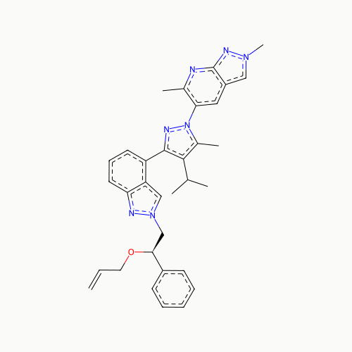 C=CCO[C@@H](Cn1cc2c(-c3nn(-c4cc5cn(C)nc5nc4C)c(C)c3C(C)C)cccc2n1)c1ccccc1